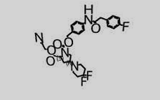 N#CCOC(=O)[C@@H]1C[C@@H](N2CCC(F)(F)CC2)CN1C(=O)OCc1ccc(NC(=O)Cc2ccc(F)cc2)cc1